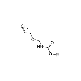 C=CCOCNC(=O)OCC